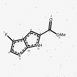 COC(=O)c1cc2c(F)csc2[nH]1